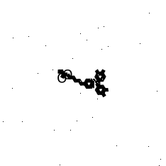 C=CC(=O)OCCCCCc1ccc(N(c2ccc(C)c(C)c2)c2ccc(C)c(C)c2)cc1